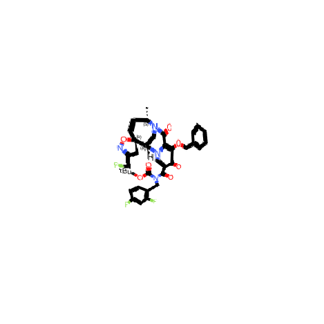 C[C@H]1C=C[C@]2(CC(CF)=NO2)[C@H]2CN1C(=O)c1c(OCc3ccccc3)c(=O)c(C(=O)N(Cc3ccc(F)cc3F)C(=O)OC(C)(C)C)cn12